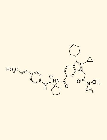 CN(C)C(=O)Cn1c(C2CC2)c(C2CCCCC2)c2ccc(C(=O)NC3(C(=O)Nc4ccc(/C=C/C(=O)O)cc4)CCCC3)cc21